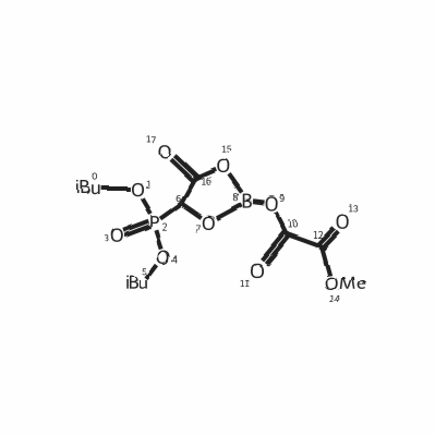 CCC(C)OP(=O)(OC(C)CC)C1OB(OC(=O)C(=O)OC)OC1=O